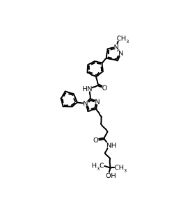 Cn1cc(-c2cccc(C(=O)Nc3nc(CCCC(=O)NCCC(C)(C)O)cn3-c3ccccc3)c2)cn1